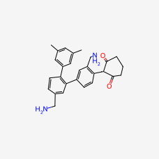 Cc1cc(C)cc(-c2ccc(CN)cc2-c2ccc([C]3C(=O)CCCC3=O)c(CN)c2)c1